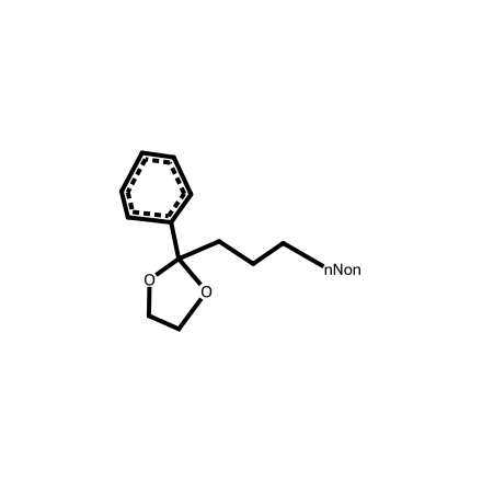 CCCCCCCCCCCCC1(c2ccccc2)OCCO1